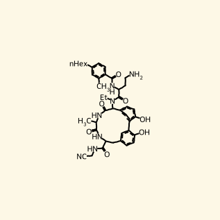 CCCCCCc1ccc(C(=O)NC(CCN)C(=O)N(CC)C2C(=O)NC(C)C(=O)NC(C(=O)NCC#N)Cc3ccc(O)c(c3)-c3cc2ccc3O)c(C)c1